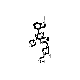 OCCN1CCN(Cc2nc3c(N4CCOCC4)nc(-c4cccc5[nH]ccc45)nc3[nH]2)C[C@@H]1I